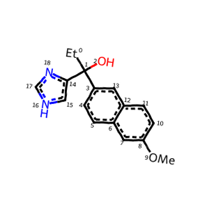 CCC(O)(c1ccc2cc(OC)ccc2c1)c1c[nH]cn1